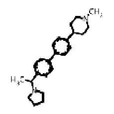 CC(c1ccc(-c2ccc(C3CCN(C)CC3)cc2)cc1)N1CCCC1